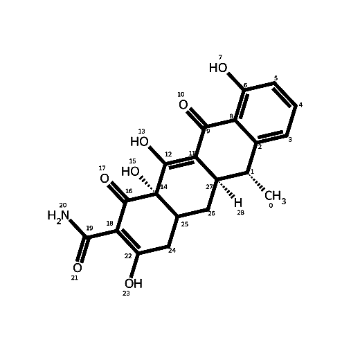 C[C@H]1c2cccc(O)c2C(=O)C2=C(O)[C@]3(O)C(=O)C(C(N)=O)=C(O)CC3C[C@@H]21